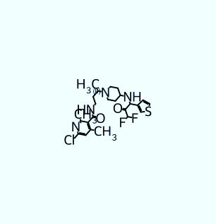 Cc1cc(Cl)nc(C)c1C(=O)NCC[C@@H](C)N1CCC(NC(C(=O)C(F)F)c2ccsc2)CC1